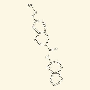 NN=Cc1ccc2cc(C(=O)Nc3ccc4ccccc4c3)ccc2c1